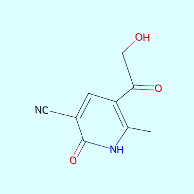 Cc1[nH]c(=O)c(C#N)cc1C(=O)CO